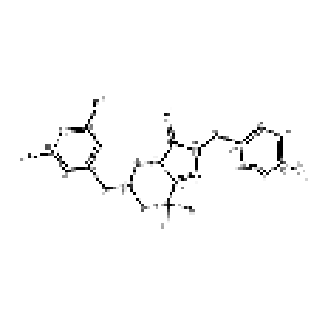 CC1(C)CN(Cc2cc(F)cc(F)c2)CC2C(=O)N(Cc3ccc(Cl)cc3)N=C21